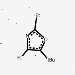 CCc1nc(CC)c(C(C)(C)C)o1